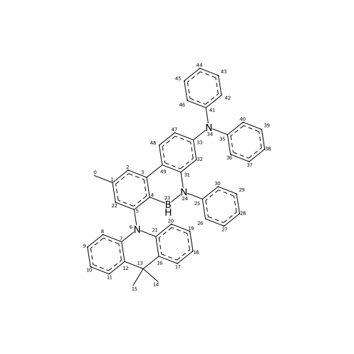 Cc1cc2c(c(N3c4ccccc4C(C)(C)c4ccccc43)c1)BN(c1ccccc1)c1cc(N(c3ccccc3)c3ccccc3)ccc1-2